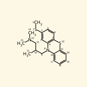 CSc1ccc2c(c1)N(CC(C)CN(C)C)c1ccccc1S2